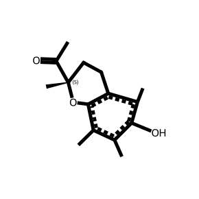 CC(=O)[C@]1(C)CCc2c(C)c(O)c(C)c(C)c2O1